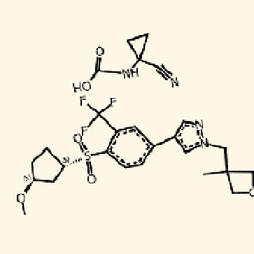 CO[C@H]1CC[C@H](S(=O)(=O)c2ccc(-c3cnn(CC4(C)COC4)c3)cc2C(F)(F)F)C1.N#CC1(NC(=O)O)CC1